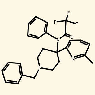 Cc1cccc(C2(N(C(=O)C(F)(F)F)c3ccccc3)CCN(Cc3ccccc3)CC2)n1